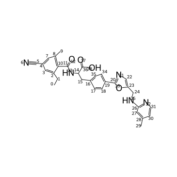 CCc1cc(C#N)cc(C)c1C(=O)NC(Cc1ccc(-c2ncc(CNc3cc(C)ccn3)o2)cc1)C(=O)O